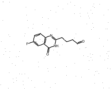 O=[C]CCCc1nc2ccc(F)cc2c(=O)[nH]1